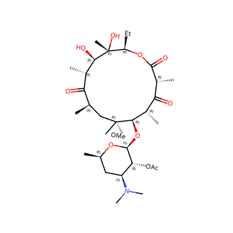 CC[C@H]1OC(=O)[C@H](C)C(=O)[C@H](C)[C@@H](O[C@@H]2O[C@H](C)C[C@H](N(C)C)[C@H]2OC(C)=O)[C@](C)(OC)C[C@@H](C)C(=O)[C@H](C)[C@@H](O)[C@]1(C)O